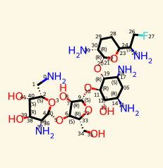 NC[C@@H]1O[C@H](O[C@H]2[C@@H](O)[C@H](O[C@@H]3[C@@H](O)[C@H](N)C[C@H](N)[C@H]3O[C@H]3OC([C@H](N)CF)CC[C@H]3N)O[C@@H]2CO)[C@H](N)[C@@H](O)[C@@H]1O